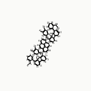 CCc1ccccc1-c1cccc2c1oc1c(N(c3ccc(C)c(C)c3)c3ccc4ccc5c(N(c6ccc(C)c(C)c6)c6cccc7c6oc6c(-c8ccccc8CC)cccc67)ccc6ccc3c4c65)cccc12